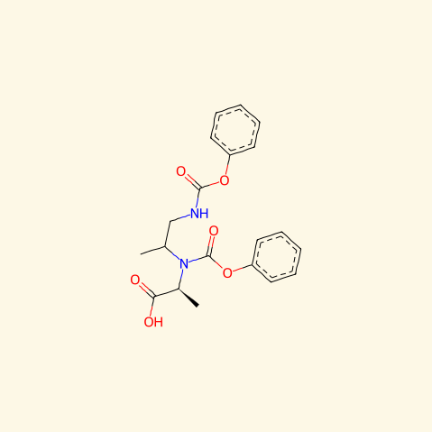 CC(CNC(=O)Oc1ccccc1)N(C(=O)Oc1ccccc1)[C@@H](C)C(=O)O